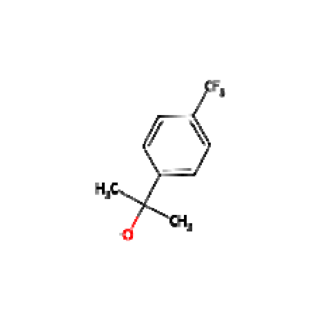 CC(C)([O])c1ccc(C(F)(F)F)cc1